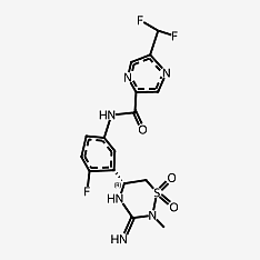 CN1C(=N)N[C@H](c2cc(NC(=O)c3cnc(C(F)F)cn3)ccc2F)CS1(=O)=O